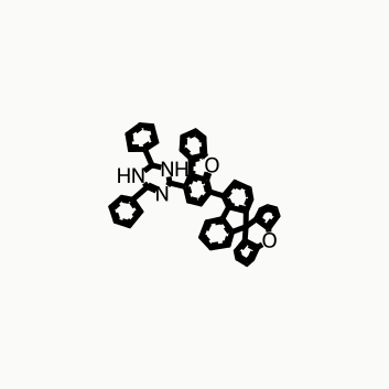 c1ccc(C2=NC(c3ccc(-c4cccc5c4-c4ccccc4C54c5ccccc5Oc5ccccc54)c4oc5ccccc5c34)NC(c3ccccc3)N2)cc1